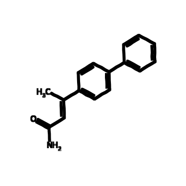 CC(=CC(N)=O)c1ccc(-c2ccccc2)cc1